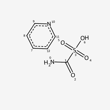 NC(=O)S(=O)(=O)O.c1ccncc1